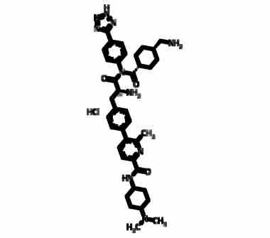 Cc1nc(C(=O)NC2CCC(N(C)C)CC2)ccc1-c1ccc(C[C@H](N)C(=O)N(c2ccc(-c3nn[nH]n3)cc2)C(=O)[C@H]2CC[C@H](CN)CC2)cc1.Cl